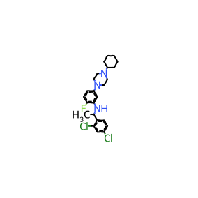 CC(Nc1cc(N2CCN(C3CCCCC3)CC2)ccc1F)c1ccc(Cl)cc1Cl